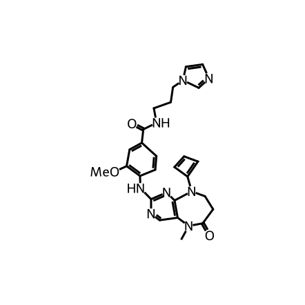 COc1cc(C(=O)NCCCn2ccnc2)ccc1Nc1ncc2c(n1)N(C1=CC=C1)CCC(=O)N2C